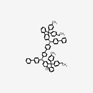 C=Cc1ccc(C2(c3ccc(C)cc3)C3=CC(N(c4ccc(-c5ccccc5)cc4)c4ccc(-c5ccc(N(c6ccc(-c7ccccc7)cc6)c6ccc7c(c6)C(c6ccc(C)cc6)(c6ccc(C=C)cc6)c6ccccc6-7)cc5)cc4)=CCC3(C)c3ccccc32)cc1